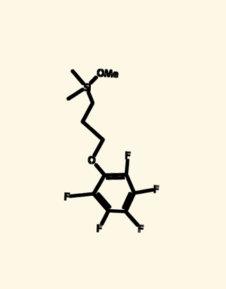 CO[Si](C)(C)CCCOc1c(F)c(F)c(F)c(F)c1F